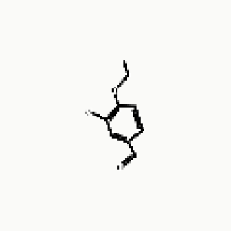 CCOc1c[c]c(C=O)cc1Cl